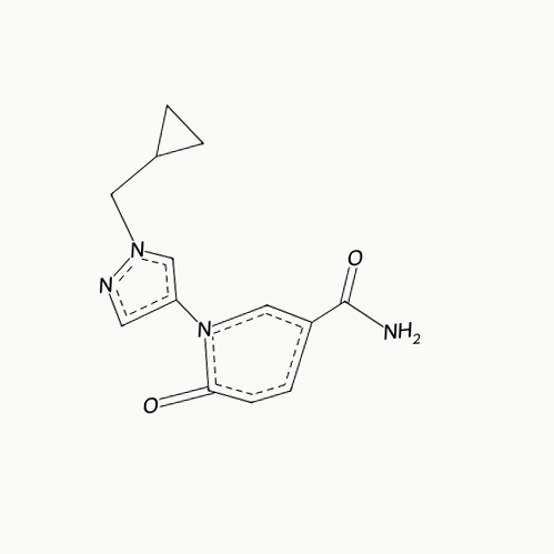 NC(=O)c1ccc(=O)n(-c2cnn(CC3CC3)c2)c1